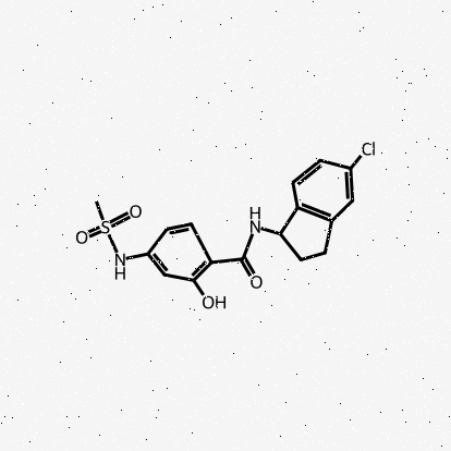 CS(=O)(=O)Nc1ccc(C(=O)NC2CCc3cc(Cl)ccc32)c(O)c1